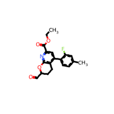 CCOC(=O)c1cc(-c2ccc(C)cc2F)c2c(n1)OC(C=O)CC2